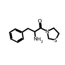 NC(Cc1ccccc1)C(=O)N1CCSC1